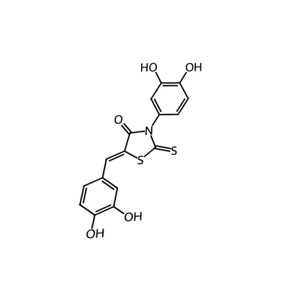 O=C1C(=Cc2ccc(O)c(O)c2)SC(=S)N1c1ccc(O)c(O)c1